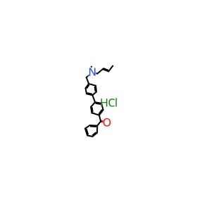 CC=CCN(C)Cc1ccc(-c2ccc(C(=O)c3ccccc3)cc2)cc1.Cl